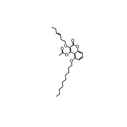 CCC=CCCOc1c(OC(C)=O)c2c(OCCCCCCCCCC)cccc2oc1=O